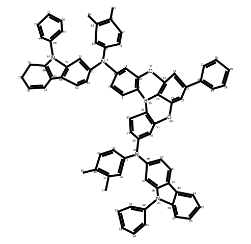 Cc1ccc(N(c2ccc3c(c2)Oc2cc(-c4ccccc4)cc4c2B3c2ccc(N(c3ccc(C)c(C)c3)c3ccc5c6ccccc6n(-c6ccccc6)c5c3)cc2O4)c2ccc3c4c(n(-c5ccccc5)c3c2)CCC=C4)cc1C